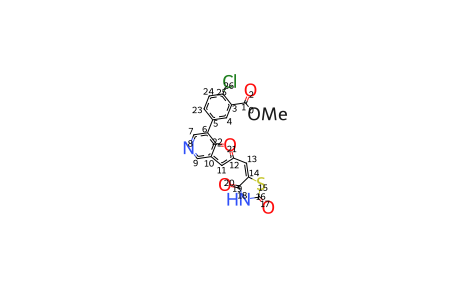 COC(=O)c1cc(-c2cncc3cc(C=C4SC(=O)NC4=O)oc23)ccc1Cl